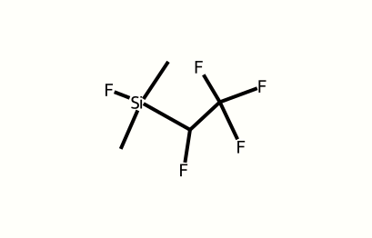 C[Si](C)(F)C(F)C(F)(F)F